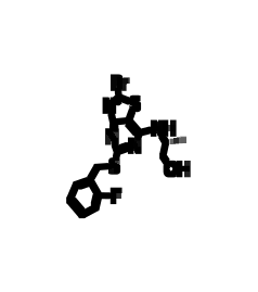 C[C@H](CO)Nc1nc(SCc2ccccc2F)nc2nc(Br)sc12